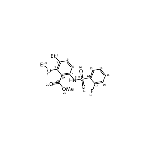 CCOc1c(CC)ccc(NS(=O)(=O)c2ccccc2F)c1C(=O)OC